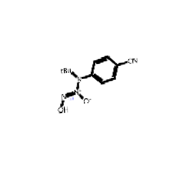 CC(C)(C)N(c1ccc(C#N)cc1)/[N+]([O-])=N/O